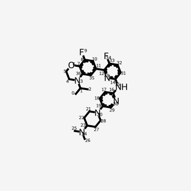 CC(C)N1CCOc2c(F)cc(-c3nc(Nc4ccc(N5CCC(N(C)C)CC5)cn4)ccc3F)cc21